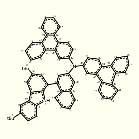 CC(C)(C)c1ccc2[nH]c3c(-c4cc(N(c5ccc6c7ccccc7c7ccccc7c6c5)c5ccc6c7ccccc7c7ccccc7c6c5)cc5ccccc45)cc(C(C)(C)C)cc3c2c1